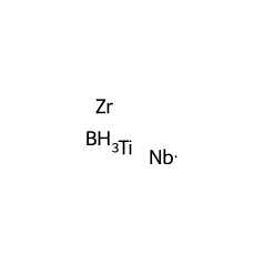 B.[Nb].[Ti].[Zr]